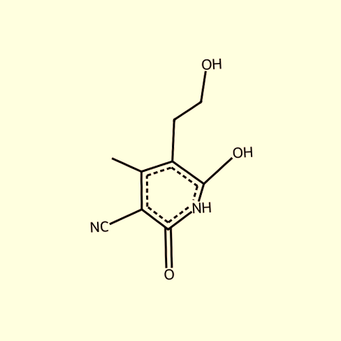 Cc1c(CCO)c(O)[nH]c(=O)c1C#N